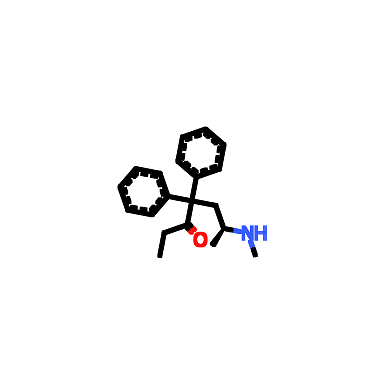 CCC(=O)C(C[C@H](C)NC)(c1ccccc1)c1ccccc1